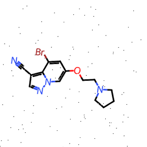 N#Cc1cnn2cc(OCCN3CCCC3)cc(Br)c12